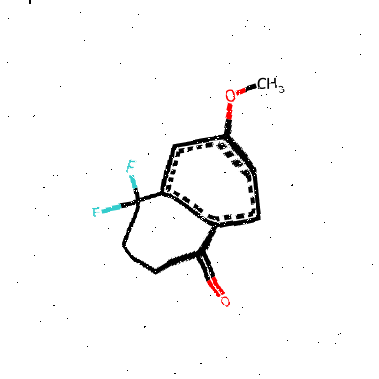 COc1ccc2c(c1)C(F)(F)CCC2=O